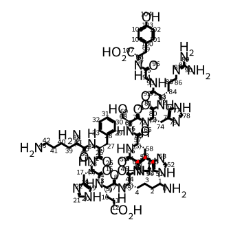 NCCCC[C@H](NC(=O)[C@H](CCC(=O)O)NC(=O)[C@H](Cc1c[nH]cn1)NC(=O)[C@H](Cc1ccccc1)NC(=O)[C@@H](N)CCCCN)C(=O)N[C@@H](Cc1c[nH]cn1)C(=O)N[C@@H](Cc1c[nH]cn1)C(=O)N[C@@H](CO)C(=O)N[C@@H](Cc1c[nH]cn1)C(=O)N[C@@H](CCCN=C(N)N)C(=O)NCC(=O)N[C@@H](Cc1ccc(O)cc1)C(=O)O